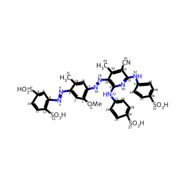 COc1cc(/N=N/c2cc(S(=O)(=O)O)ccc2S(=O)(=O)O)c(C)cc1/N=N/c1c(Nc2ccc(S(=O)(=O)O)cc2)nc(Nc2ccc(S(=O)(=O)O)cc2)c(C#N)c1C